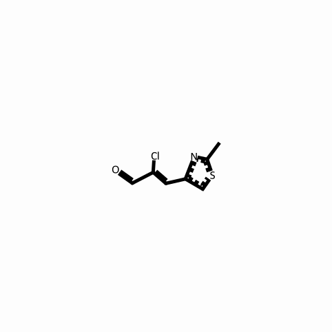 Cc1nc(/C=C(\Cl)C=O)cs1